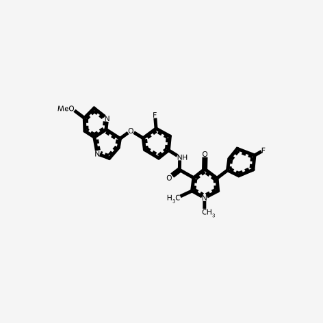 COc1cnc2c(Oc3ccc(NC(=O)c4c(C)n(C)cc(-c5ccc(F)cc5)c4=O)cc3F)ccnc2c1